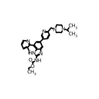 CCOC(=O)Nc1nc2cc(-c3ccc(CN4CCN(C(C)C)CC4)nc3)cc(-c3ncccc3F)c2[nH]1